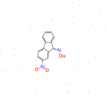 O=[N+]([O-])c1ccc2c(c1)C(=NO)c1ccccc1-2